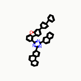 C1=CC2C=Cc3cc(-c4nc(-c5ccc6ccccc6c5)nc(-c5cccc6oc7cc(-c8ccc(-c9ccccc9)cc8)ccc7c56)n4)ccc3C2C=C1